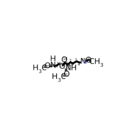 CO/C=N/CCCCC(NCOC)C(=O)OCCNCOC